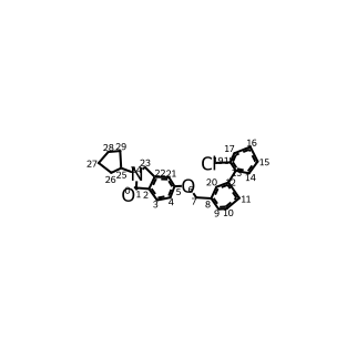 O=C1c2ccc(OCc3cccc(-c4ccccc4Cl)c3)cc2CN1C1CCCC1